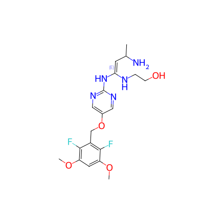 COc1cc(OC)c(F)c(COc2cnc(N/C(=C/C(C)N)NCCO)nc2)c1F